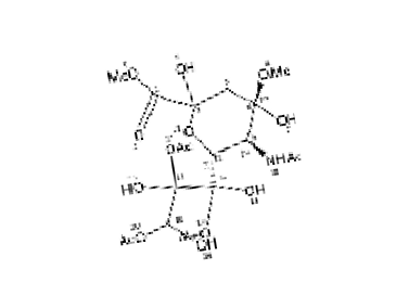 COC(=O)C1(O)C[C@@](O)(OC)[C@@H](NC(C)=O)[C@H](C(O)(OC)C(O)(OC(C)=O)C(O)OC(C)=O)O1